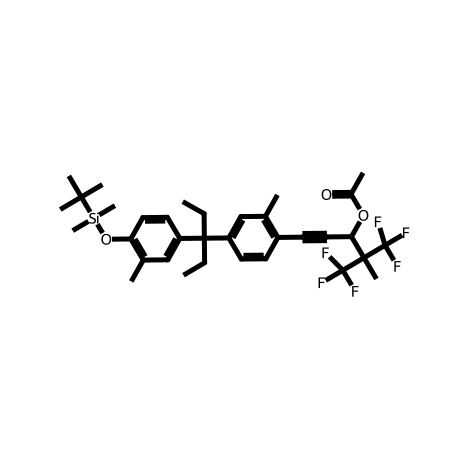 CCC(CC)(c1ccc(C#CC(OC(C)=O)C(C)(C(F)(F)F)C(F)(F)F)c(C)c1)c1ccc(O[Si](C)(C)C(C)(C)C)c(C)c1